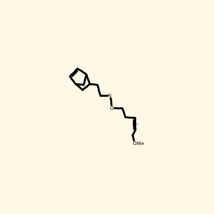 COC/C=C\CCOSCCC1CC2C=CC1C2